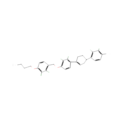 CCCCOc1ccc(COc2ccc(C3=CCC(c4ccc(C)c(F)c4F)CC3)c(F)c2F)c(F)c1F